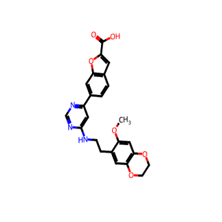 COc1cc2c(cc1CCNc1cc(-c3ccc4cc(C(=O)O)oc4c3)ncn1)OCCO2